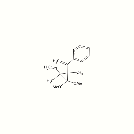 C=NC1(C)C(OC)(OC)C1(C)C(=C)c1ccccc1